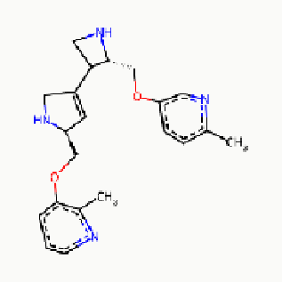 Cc1ccc(OC[C@H]2NCC2C2=C[C@@H](COc3cccnc3C)NC2)cn1